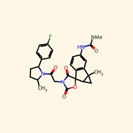 CNC(=O)Nc1ccc2c(c1)C1(C)CC1C21OC(=O)N(CC(=O)N2C(C)CCC2c2ccc(F)cc2)C1=O